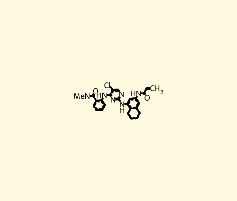 C=CC(=O)Nc1cc2c(c(Nc3ncc(Cl)c(Nc4ccccc4C(=O)NC)n3)c1)CCCC2